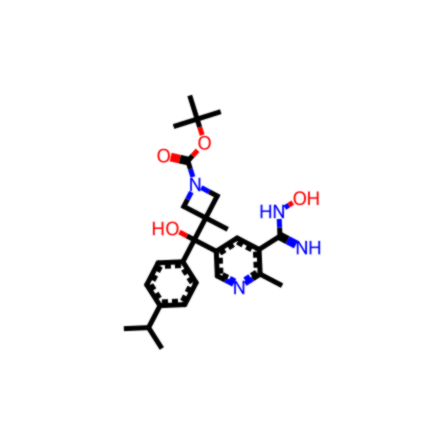 Cc1ncc(C(O)(c2ccc(C(C)C)cc2)C2(C)CN(C(=O)OC(C)(C)C)C2)cc1C(=N)NO